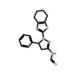 O=CNC1=NN(c2nc3c(s2)CCCC3)C(c2ccccc2)C1